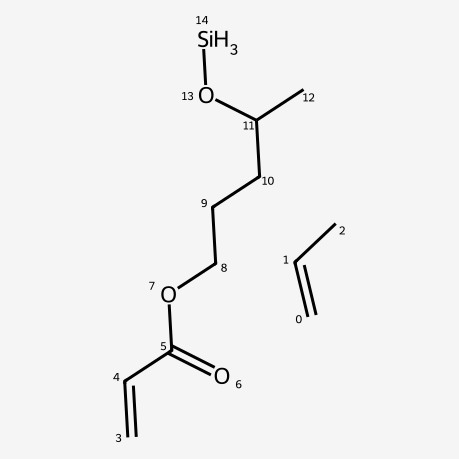 C=CC.C=CC(=O)OCCCC(C)O[SiH3]